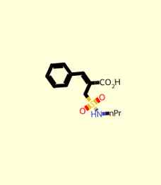 CCCNS(=O)(=O)CC(=Cc1ccccc1)C(=O)O